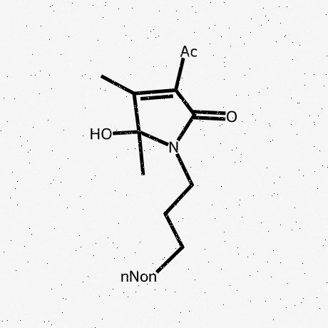 CCCCCCCCCCCCN1C(=O)C(C(C)=O)=C(C)C1(C)O